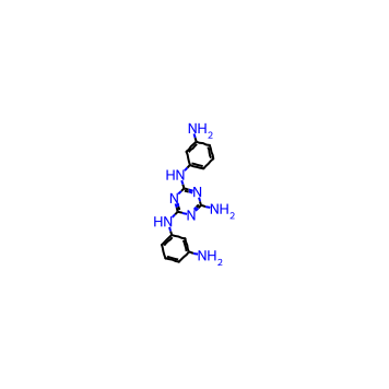 Nc1cccc(Nc2nc(N)nc(Nc3cccc(N)c3)n2)c1